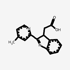 Cc1ccnc(C2=Nc3ccccc3C2CC(=O)O)c1